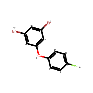 Fc1ccc(Oc2cc(Br)cc(Br)c2)cc1